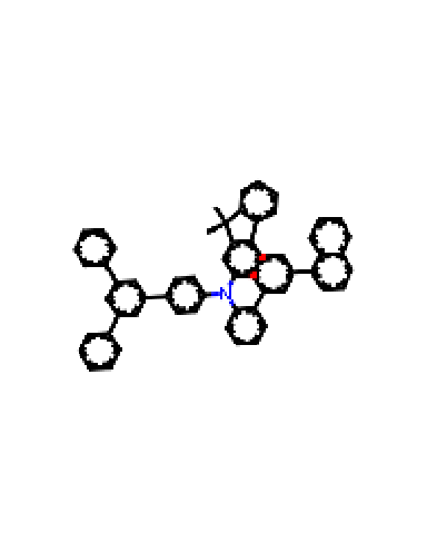 CC1(C)c2ccccc2-c2ccc(N(c3ccc(-c4cc(-c5ccccc5)cc(-c5ccccc5)c4)cc3)c3ccccc3-c3cccc(-c4cccc5ccccc45)c3)cc21